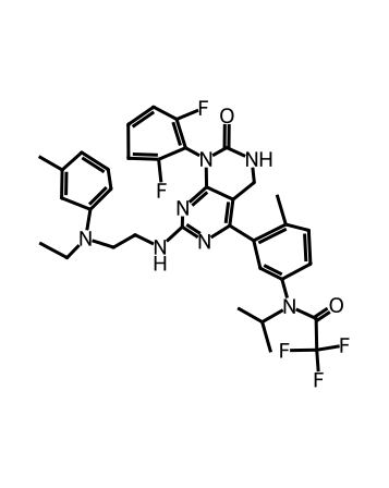 CCN(CCNc1nc(-c2cc(N(C(=O)C(F)(F)F)C(C)C)ccc2C)c2c(n1)N(c1c(F)cccc1F)C(=O)NC2)c1cccc(C)c1